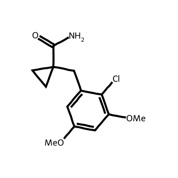 COc1cc(CC2(C(N)=O)CC2)c(Cl)c(OC)c1